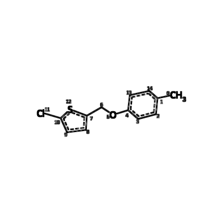 Cc1ccc(OCc2ccc(Cl)s2)cc1